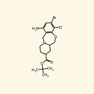 CC(C)(C)OC(=O)N1CCN2Cc3c(N)cc(Br)c(Cl)c3OCC2C1